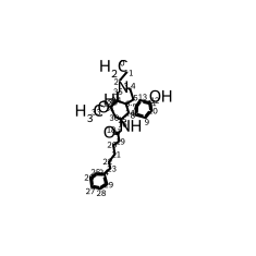 C=CCN1CC[C@@]2(c3cccc(O)c3)C[C@@H](NC(=O)CCCCCc3ccccc3)CC(OC)[C@@H]2C1